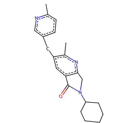 Cc1ccc(Cc2cc3c(nc2C)CN(C2CCCCC2)C3=O)cn1